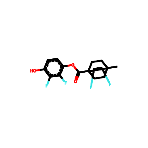 CC12CCC(C(=O)Oc3ccc(O)c(F)c3F)(CC1)C(F)=C2F